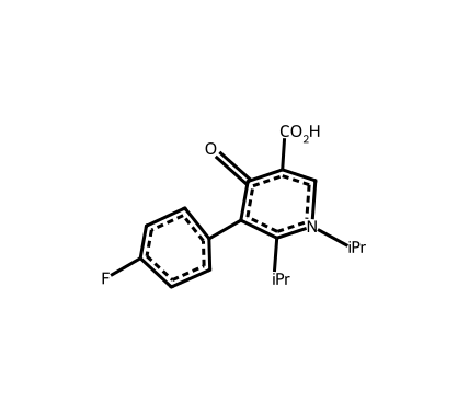 CC(C)c1c(-c2ccc(F)cc2)c(=O)c(C(=O)O)cn1C(C)C